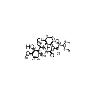 CCC(CC)[C@@H](Oc1ccc(Cl)cc1)[C@H](C)OC(=O)[C@H](C)NC(=O)c1nccc(OC)c1O